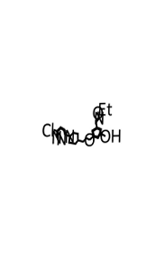 CCON=Cc1cc(O)cc(OCCC2CCN(c3ccc(Cl)nn3)CC2)c1